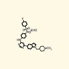 CN1CCC(Cn2ccc3cc(-c4cc(Nc5ccc(N(OC=O)S(=O)(=O)c6ccc(F)cc6)cc5)ncn4)ccc32)CC1